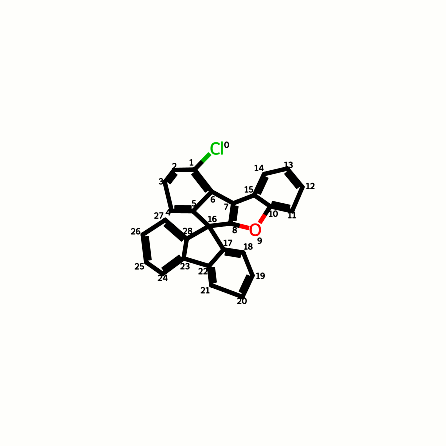 Clc1cccc2c1-c1c(oc3ccccc13)C21c2ccccc2-c2ccccc21